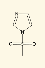 CS(=O)(=O)n1ccnc1